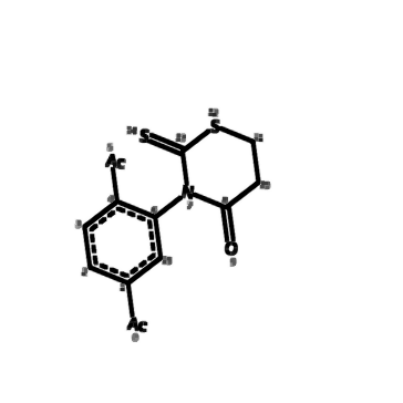 CC(=O)c1ccc(C(C)=O)c(N2C(=O)CCSC2=S)c1